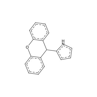 c1c[nH]c(C2c3ccccc3Oc3ccccc32)c1